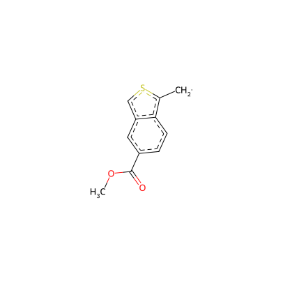 [CH2]c1scc2cc(C(=O)OC)ccc12